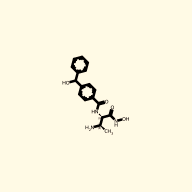 C[C@@H](N)[C@H](NC(=O)c1ccc(C(O)c2ccccc2)cc1)C(=O)NO